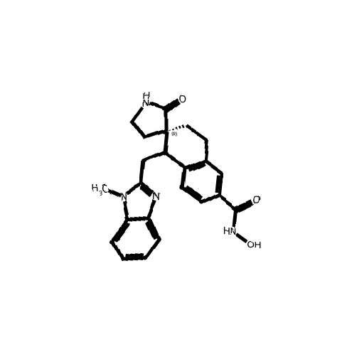 Cn1c(CC2c3ccc(C(=O)NO)cc3CC[C@@]23CCNC3=O)nc2ccccc21